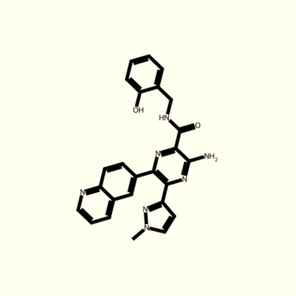 Cn1ccc(-c2nc(N)c(C(=O)NCc3ccccc3O)nc2-c2ccc3ncccc3c2)n1